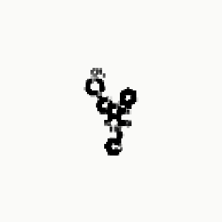 CN1CCCN(c2ccc3c(=O)c(C(=O)NCc4ccccn4)c4sc5ccccc5n4c3n2)CC1